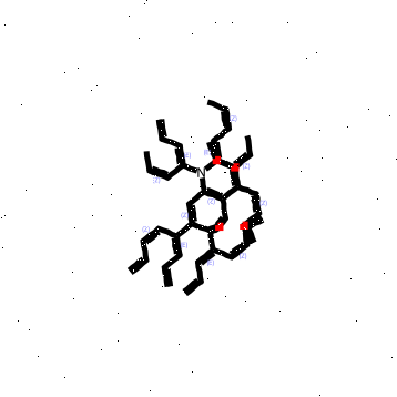 C=CC=C(/C=C\C=C)/C(C=C)=C(/C=C(C(=C)C(/C=C\C=C)=C/C=C)/C(/C=C\C=C)=C/C=C)N(C(/C=C\C)=C/C=C)C(/C=C\C)=C/C=C\C